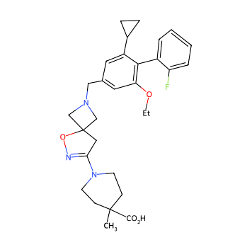 CCOc1cc(CN2CC3(CC(N4CCC(C)(C(=O)O)CC4)=NO3)C2)cc(C2CC2)c1-c1ccccc1F